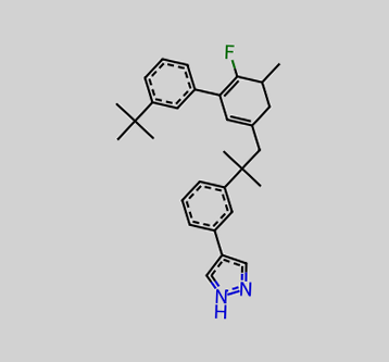 CC1CC(CC(C)(C)c2cccc(-c3cn[nH]c3)c2)=CC(c2cccc(C(C)(C)C)c2)=C1F